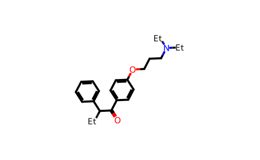 CCC(C(=O)c1ccc(OCCCN(CC)CC)cc1)c1ccccc1